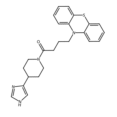 O=C(CCCN1c2ccccc2Sc2ccccc21)N1CCC(c2c[nH]cn2)CC1